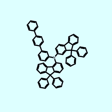 c1ccc(-c2ccc(-c3cccc(N(c4ccc5c(c4)C(c4ccccc4)(c4ccccc4)c4ccccc4-5)c4cccc5c4-c4ccccc4C5(c4ccccc4)c4ccccc4)c3)cc2)cc1